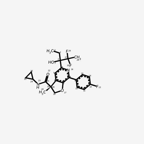 CCC(O)(c1cc2c(c(-c3ccc(F)cc3)n1)OC[C@]2(C)C(=O)NC1CC1)C(C)(F)F